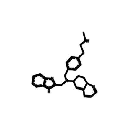 CNCCc1ccc(CN(Cc2nc3ccccc3[nH]2)C2C=C3C=CC=NC3CC2)cc1